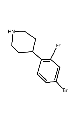 CCc1cc(Br)ccc1C1CCNCC1